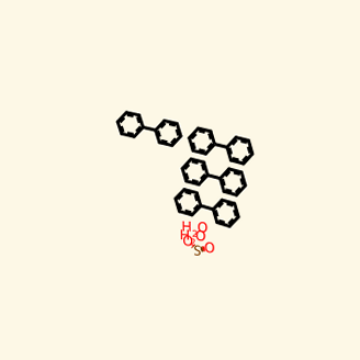 O.O.O=S=O.c1ccc(-c2ccccc2)cc1.c1ccc(-c2ccccc2)cc1.c1ccc(-c2ccccc2)cc1.c1ccc(-c2ccccc2)cc1